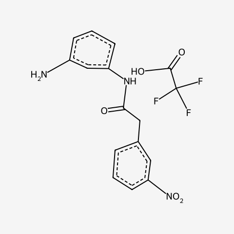 Nc1cccc(NC(=O)Cc2cccc([N+](=O)[O-])c2)c1.O=C(O)C(F)(F)F